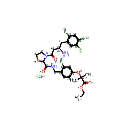 CCOC(=O)C(C)(C)Oc1ccc(CNC(=O)C2SCCN2C(=O)C[C@H](N)Cc2cc(F)c(F)cc2F)c(F)c1.Cl